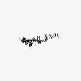 CC/C=C\C/C=C\C/C=C\C/C=C\C/C=C\CCCC(=O)NCCNC(=O)OC[C@H]1O[C@H](n2cc(C)c(=O)[nH]c2=O)C[C@@H]1N=[N+]=[N-]